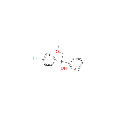 COCC(O)(c1ccccc1)c1ccc(F)cc1